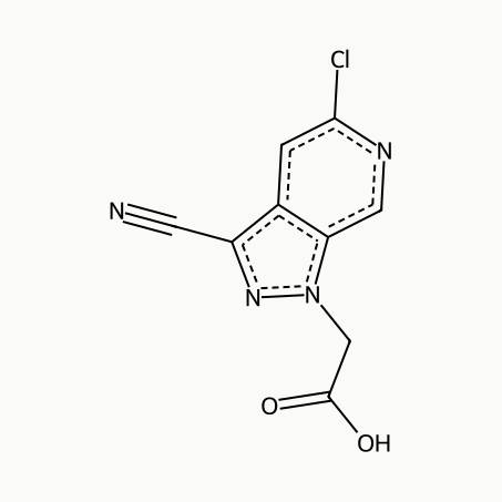 N#Cc1nn(CC(=O)O)c2cnc(Cl)cc12